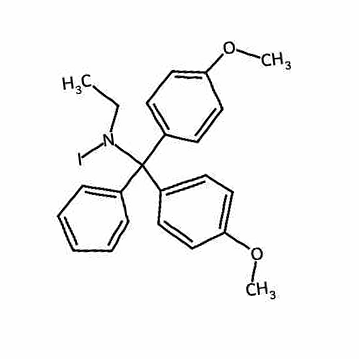 CCN(I)C(c1ccccc1)(c1ccc(OC)cc1)c1ccc(OC)cc1